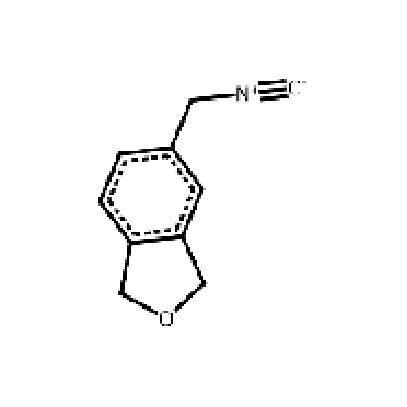 [C-]#[N+]Cc1ccc2c(c1)COC2